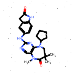 CN1C(=O)C(C)(C)CN(C2CCCC2)c2nc(Nc3ccc4c(c3)CC(=O)N4)ncc21